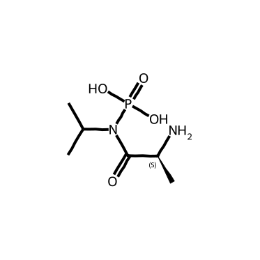 CC(C)N(C(=O)[C@H](C)N)P(=O)(O)O